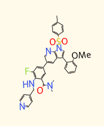 COc1ccccc1-c1cn(S(=O)(=O)c2ccc(C)cc2)c2ncc(-c3cc(F)c(NCc4ccncc4)c(C(=O)N(C)C)c3)cc12